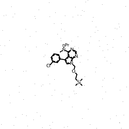 CCCN(C)c1ncnc2c1c(-c1cccc(Cl)c1)cn2COCC[Si](C)(C)C